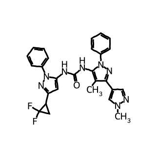 Cc1c(-c2cnn(C)c2)nn(-c2ccccc2)c1NC(=O)Nc1cc(C2CC2(F)F)nn1-c1ccccc1